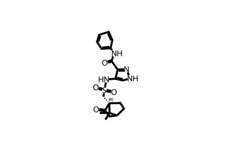 CC1(C)C2CC[C@]1(CS(=O)(=O)Nc1c[nH]nc1C(=O)Nc1ccccc1)C(=O)C2